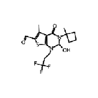 Cc1c(C=O)sc2c1C(=O)N(C1(C)CCC1)C(O)N2CCC(F)(F)F